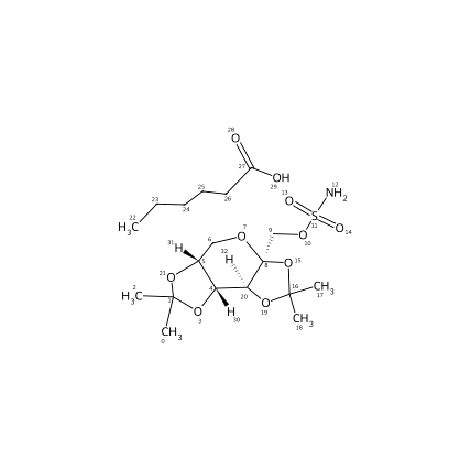 CC1(C)O[C@@H]2[C@@H](CO[C@@]3(COS(N)(=O)=O)OC(C)(C)O[C@@H]23)O1.CCCCCC(=O)O